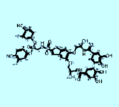 CC(COc1cc2cc(S(=O)(=O)NCP(=O)(Oc3ccc(C#N)c(F)c3)Oc3ccc(C#N)c(F)c3)sc2cc1OCC(C)NC(=O)c1ccc(O)c(O)c1)NC(=O)c1ccc(O)c(O)c1